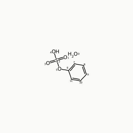 O.O=S(=O)(O)Oc1ccccc1